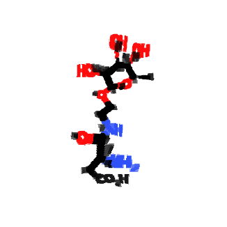 C[C@@H]1O[C@@H](OCCNC(=O)[C@@H](N)CC(=O)O)[C@@H](O)[C@H](O)[C@@H]1O